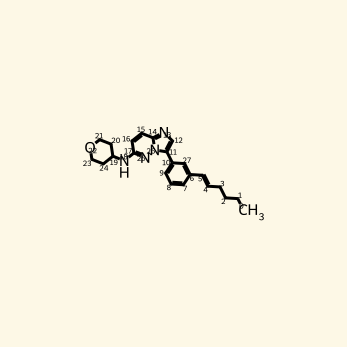 CCCCC=Cc1cccc(-c2cnc3ccc(NC4CCOCC4)nn23)c1